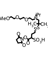 COCCOCCOCCN(CC(C)(C)SSCCC(C(=O)ON1C(=O)CCC1=O)S(=O)(=O)O)C(C)C